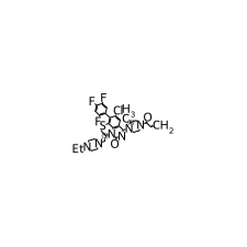 C=CC(=O)N1CCN(c2nc(=O)n3c4c(c(-c5cc(F)c(F)cc5F)c(Cl)cc24)SC[C@@H]3CN2CCN(CC)CC2)[C@@H](C)C1